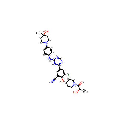 CC(O)C(=O)N1CC[C@H](Oc2ccc(-c3ncnc(Nc4ccc(N5CCC(C)(O)CC5)cc4)n3)cc2C#N)[C@H](F)C1